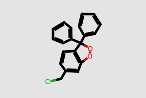 ClCc1ccc2c(c1)OOC2(c1ccccc1)c1ccccc1